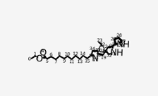 CCOC(=O)CCCCCCCCCCCC1=N/C(=C/C2(OCC)C=C(c3ccc[nH]3)NC2)C=C1